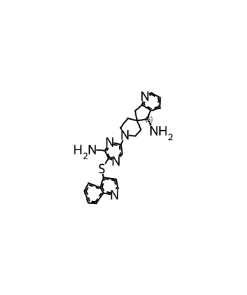 Nc1nc(N2CCC3(CC2)Cc2ncccc2[C@H]3N)cnc1Sc1ccnc2ccccc12